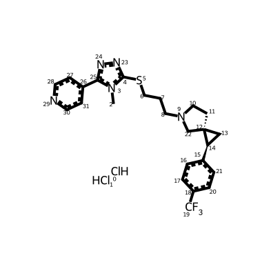 Cl.Cl.Cn1c(SCCCN2CC[C@@]3(C[C@H]3c3ccc(C(F)(F)F)cc3)C2)nnc1-c1ccncc1